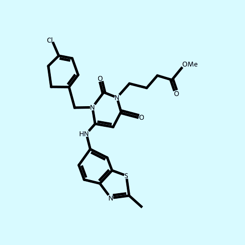 COC(=O)CCCn1c(=O)cc(Nc2ccc3nc(C)sc3c2)n(CC2=CC=C(Cl)CC2)c1=O